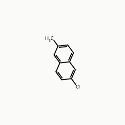 Cc1ccc2[c]c(Cl)ccc2c1